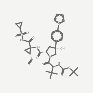 C=C[C@@H]1C[C@]1(NC(=O)[C@@H]1C[C@@](O)(c2ccc(-n3cccc3)cc2)CN1C(=O)[C@@H](NC(=O)OC(C)(C)C)C(C)(C)C)C(=O)NS(=O)(=O)C1CC1